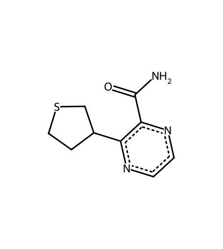 NC(=O)c1nccnc1C1CCSC1